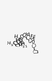 CC(C)(C)OC(=O)NCC(C)(O)c1ccc2c(C(F)(F)F)c(OC3CCC(C4CCCC4)CC3)ccc2c1